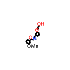 COc1cccc(C(=O)CN(C)Cc2cccc(OCCCO)c2)c1